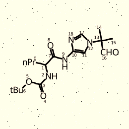 CCCC(NC(=O)OC(C)(C)C)C(=O)Nc1cn(C(C)(C)C=O)cn1